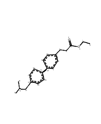 CCOC(=O)CCc1ccc(-c2ccc(CC(C)C)cc2)cc1